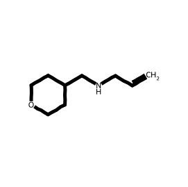 C=CCNCC1CCOCC1